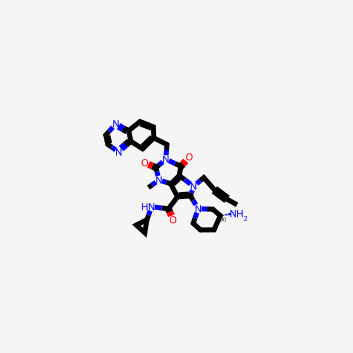 CC#CCn1c(N2CCC[C@@H](N)C2)c(C(=O)NC2CC2)c2c1c(=O)n(Cc1ccc3nccnc3c1)c(=O)n2C